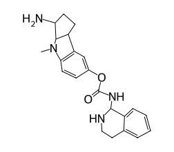 CN1c2ccc(OC(=O)NC3NCCc4ccccc43)cc2C2CCC(N)C21